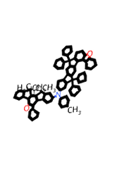 Cc1ccc(N(c2ccc3c(c2)C(C)(C)c2c4c(c5oc6ccccc6c5c2-3)-c2ccccc2C4(C)C)c2ccc3c(c2)C(c2ccccc2)(c2ccccc2)c2cc4c(cc2-3)C(c2ccccc2)(c2ccccc2)c2ccc3oc5ccccc5c3c2-4)cc1